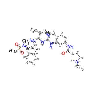 COc1ccc(NC(=O)C2CCN(C)C2)cc1Nc1ncc(C(F)(F)F)c(N[C@@H]2Cc3ccccc3[C@H]2N(C)S(C)(=O)=O)n1